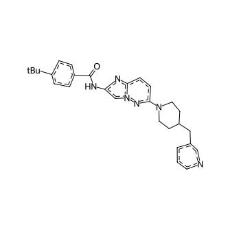 CC(C)(C)c1ccc(C(=O)Nc2cn3nc(N4CCC(Cc5cccnc5)CC4)ccc3n2)cc1